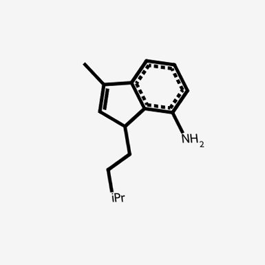 CC1=CC(CCC(C)C)c2c(N)cccc21